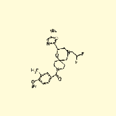 Cc1cc(C(=O)N2CCC3(CC2)CN(CC(F)F)CC(c2ncc(C(C)(C)C)o2)O3)ccc1OC(C)C